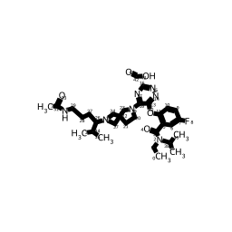 CCN(C(=O)c1cc(F)ccc1Oc1nncnc1N1CCC2(C1)CN(C(CCCNC(C)=O)C(C)C)C2)C(C)C.O=CO